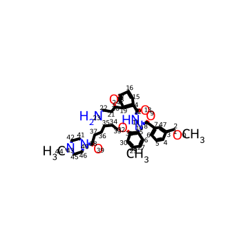 COCc1cccc(C(=O)N(NC(=O)c2ccc3cc2C(CCN)O3)c2ccc(C)cc2OCCCCCC(=O)N2CCN(C)CC2)c1